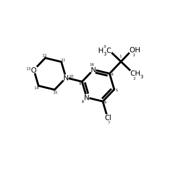 CC(C)(O)c1cc(Cl)nc(N2CCOCC2)n1